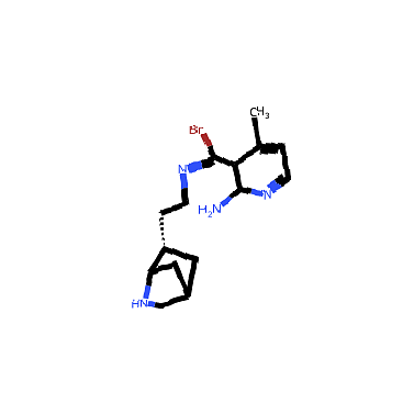 CC1=CC=NC(N)C1/C(Br)=N\CC[C@@H]1CC2CNC1C2